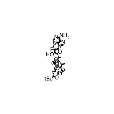 CC(C)OC(=O)C(C)NP(=O)(OCCSC(=O)C(C)(C)C)OC[C@H]1O[C@@H](n2cnc3c(N)ncnc32)[C@@](F)(Cl)[C@@H]1O